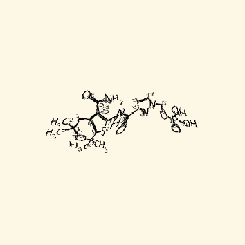 CC1(C)Cc2c(sc(NC(=O)c3ccn(COP(=O)(O)O)n3)c2C(N)=O)C(C)(C)O1